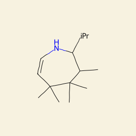 CC(C)C1NC=CC(C)(C)C(C)(C)C1C